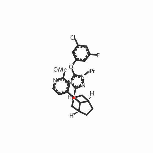 COc1cc(N2C[C@H]3CC[C@H](C2)C3Nc2nc(Oc3cc(F)cc(Cl)c3)n(C(C)C)n2)ccn1